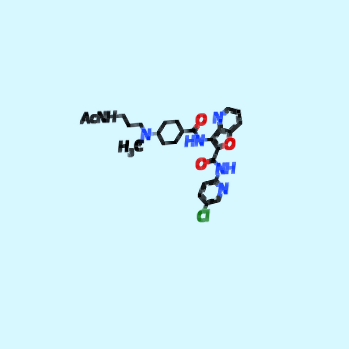 CC(=O)NCCCN(C)[C@H]1CC[C@H](C(=O)Nc2c(C(=O)Nc3ccc(Cl)cn3)oc3cccnc23)CC1